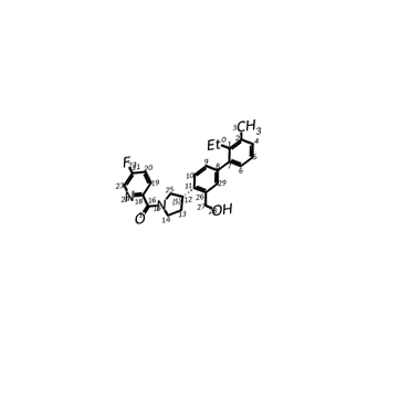 CCc1c(C)cccc1-c1ccc([C@@H]2CCN(C(=O)c3ccc(F)cn3)C2)c(CO)c1